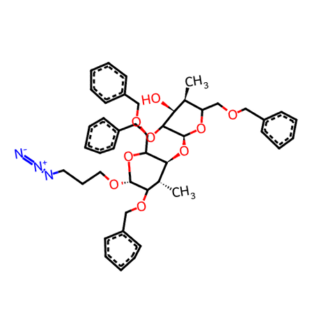 C[C@@H]1C(OCc2ccccc2)[C@H](OCCCN=[N+]=[N-])OC(COCc2ccccc2)[C@H]1O[C@@H]1OC(COCc2ccccc2)[C@H](C)[C@H](O)C1OCc1ccccc1